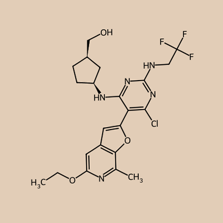 CCOc1cc2cc(-c3c(Cl)nc(NCC(F)(F)F)nc3N[C@H]3CC[C@@H](CO)C3)oc2c(C)n1